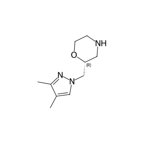 Cc1cn(C[C@H]2CNCCO2)nc1C